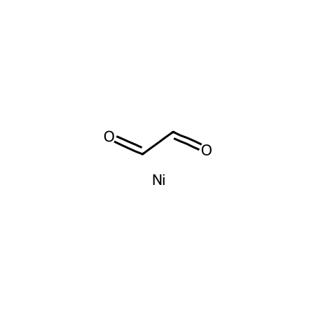 O=CC=O.[Ni]